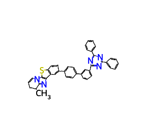 CC1CC=Cn2c1nc1c3cc(-c4ccc(-c5cccc(-c6nc(-c7ccccc7)nc(-c7ccccc7)n6)c5)cc4)ccc3sc12